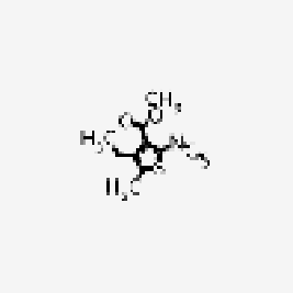 CCc1c(C)sc(N=C=S)c1C(=O)OC